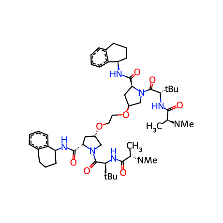 CN[C@@H](C)C(=O)N[C@H](C(=O)N1C[C@@H](OCCO[C@H]2C[C@@H](C(=O)N[C@@H]3CCCc4ccccc43)N(C(=O)[C@@H](NC(=O)[C@H](C)NC)C(C)(C)C)C2)C[C@H]1C(=O)NC1CCCc2ccccc21)C(C)(C)C